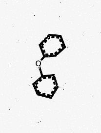 [c]1cccc(Oc2c[c]ccc2)c1